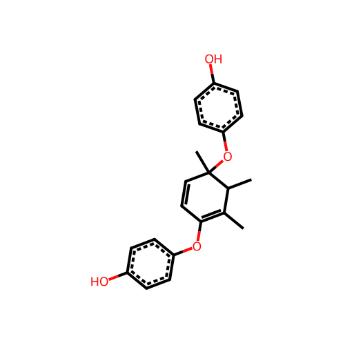 CC1=C(Oc2ccc(O)cc2)C=CC(C)(Oc2ccc(O)cc2)C1C